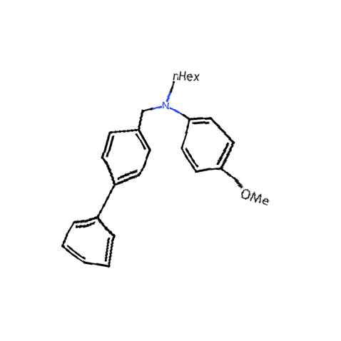 CCCCCCN(Cc1ccc(-c2ccccc2)cc1)c1ccc(OC)cc1